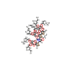 CCCCOc1c(C)c(-c2sc(C)c3c2OCC(COCC(CC)CCCC)(COCC(CC)CCCC)CO3)n(C)c1-c1sc(-c2sc(C)c3c2OCC(COCC(CC)CCCC)(COCC(CC)CCCC)CO3)c2c1OCC(COCC(CC)CCCC)(COCC(CC)CCCC)CO2